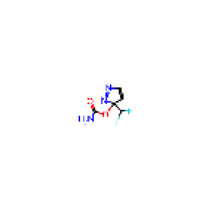 NC(=O)OC1(C(F)F)C=CN=N1